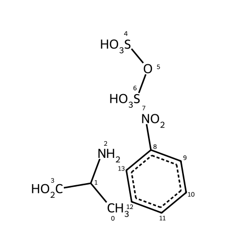 CC(N)C(=O)O.O=S(=O)(O)OS(=O)(=O)O.O=[N+]([O-])c1ccccc1